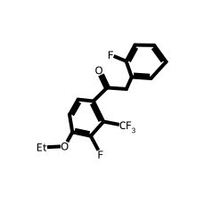 CCOc1ccc(C(=O)Cc2ccccc2F)c(C(F)(F)F)c1F